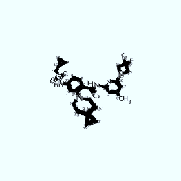 Cc1cc(NC(=O)c2ccc(NS(=O)(=O)CC3CC3)cc2N2CCC3(CC2)CC3)nc(N2CC(F)(F)C2)c1